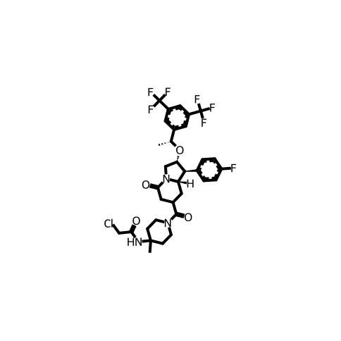 C[C@@H](O[C@H]1CN2C(=O)CC(C(=O)N3CCC(C)(NC(=O)CCl)CC3)C[C@H]2[C@@H]1c1ccc(F)cc1)c1cc(C(F)(F)F)cc(C(F)(F)F)c1